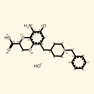 Cl.Nc1c(Cl)cc(CC2CCN(Cc3ccccc3)CC2)c2c1OC(C(=O)O)CO2